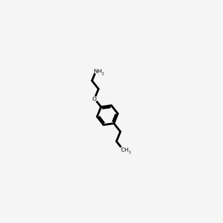 CCCc1ccc(OCCN)cc1